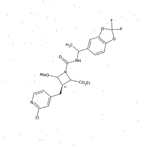 CCOC(=O)C1[C@@H](Cc2ccnc(Cl)c2)C(OC)N1C(=O)NC(C)c1ccc2c(c1)OC(F)(F)O2